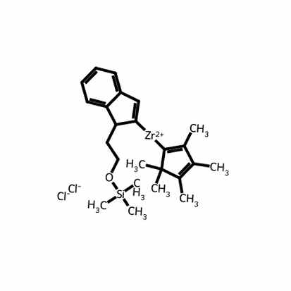 CC1=C(C)C(C)(C)[C]([Zr+2][C]2=Cc3ccccc3C2CCO[Si](C)(C)C)=C1C.[Cl-].[Cl-]